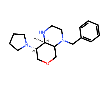 c1ccc(CN2CCN[C@H]3C2COC[C@@H]3N2CCCC2)cc1